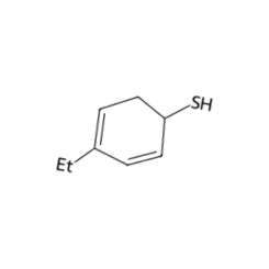 CCC1=CCC(S)C=C1